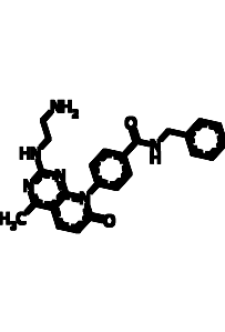 Cc1nc(NCCN)nc2c1ccc(=O)n2-c1ccc(C(=O)NCc2ccccc2)cc1